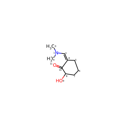 CN(C)/C=C1/CCCC(O)C1=O